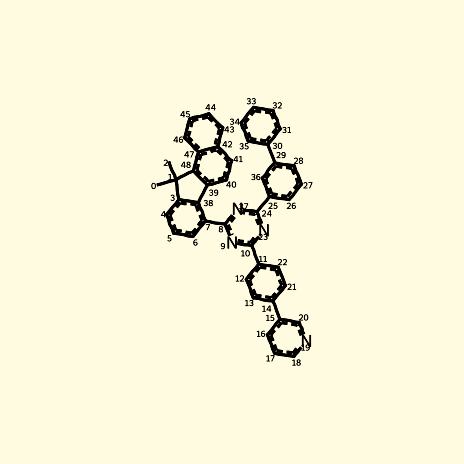 CC1(C)c2cccc(-c3nc(-c4ccc(-c5cccnc5)cc4)nc(-c4cccc(-c5ccccc5)c4)n3)c2-c2ccc3ccccc3c21